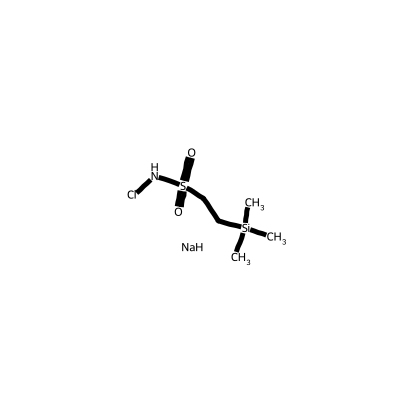 C[Si](C)(C)CCS(=O)(=O)NCl.[NaH]